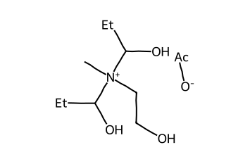 CC(=O)[O-].CCC(O)[N+](C)(CCO)C(O)CC